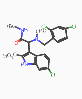 CC(C)(C)NC(=O)C(c1c(C(=O)O)[nH]c2cc(Cl)ccc12)N(C=O)Cc1ccc(Cl)cc1Cl